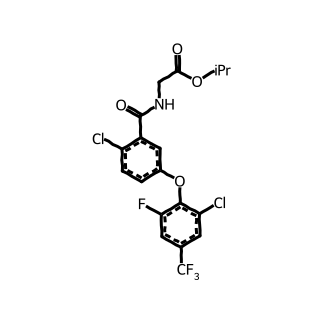 CC(C)OC(=O)CNC(=O)c1cc(Oc2c(F)cc(C(F)(F)F)cc2Cl)ccc1Cl